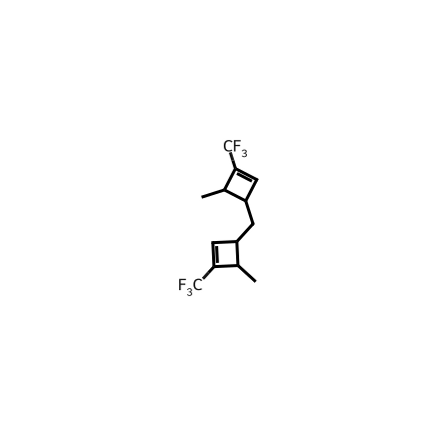 CC1C(C(F)(F)F)=CC1CC1C=C(C(F)(F)F)C1C